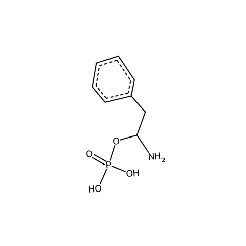 NC(Cc1ccccc1)OP(=O)(O)O